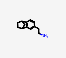 NCCc1ccc2c(c1)C1CCC2C1